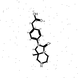 CC12CNCCN1C(=O)N(c1ccc(CC(=O)O)cc1)C2